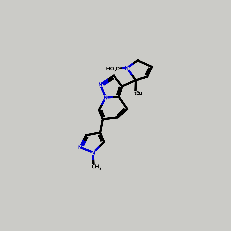 Cn1cc(-c2ccc3c(C4(C(C)(C)C)C=CCN4C(=O)O)cnn3c2)cn1